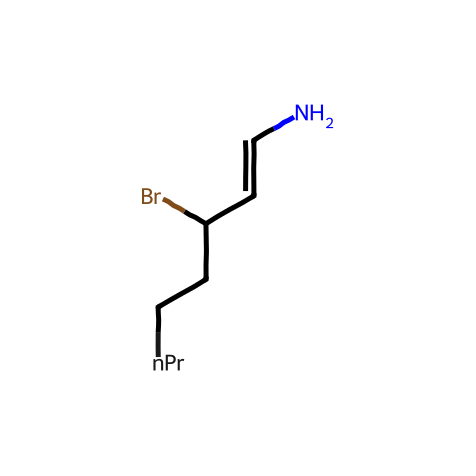 CCCCCC(Br)C=CN